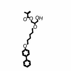 C=C(C)C(=O)OCC(CO)OCCCCCCOc1ccc(-c2ccccc2)cc1